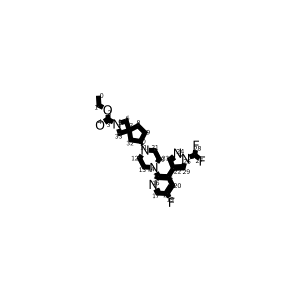 CCOC(=O)N1CC2(CC[C@@H](N3CCN(c4ncc(F)cc4-c4cnn(C(F)F)c4)CC3)C2)C1